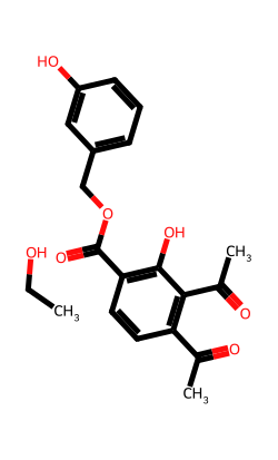 CC(=O)c1ccc(C(=O)OCc2cccc(O)c2)c(O)c1C(C)=O.CCO